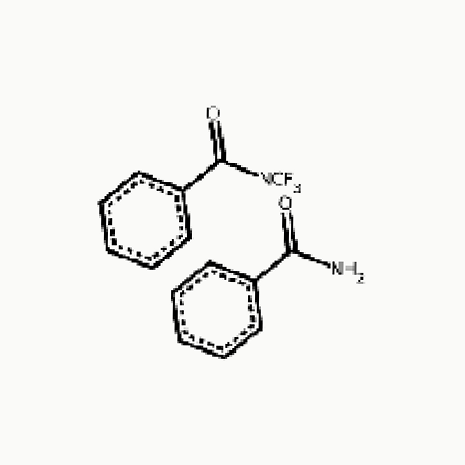 NC(=O)c1ccccc1.O=C(NC(F)(F)F)c1ccccc1